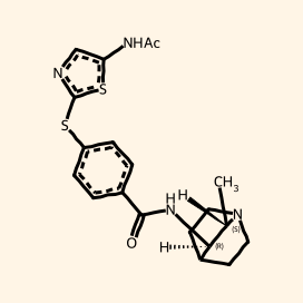 CC(=O)Nc1cnc(Sc2ccc(C(=O)N[C@@H]3C4CCN(CC4)[C@H]3C)cc2)s1